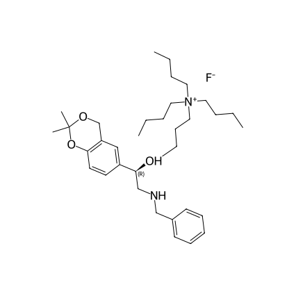 CC1(C)OCc2cc([C@@H](O)CNCc3ccccc3)ccc2O1.CCCC[N+](CCCC)(CCCC)CCCC.[F-]